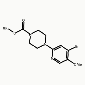 COc1cnc(N2CCN(C(=O)OC(C)(C)C)CC2)cc1Br